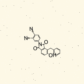 N#Cc1ccc(N2C(=O)c3ccc(O)c(Cc4ccccc4)c3C2=O)cc1C#N